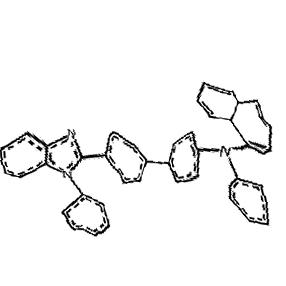 C1=CC2C=CC=C(N(c3ccccc3)c3ccc(-c4ccc(-c5nc6ccccc6n5-c5ccccc5)cc4)cc3)C2C=C1